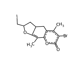 CC1=C2OC(CI)CC2Cc2c1oc(=O)c(Br)c2C